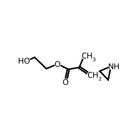 C1CN1.C=C(C)C(=O)OCCO